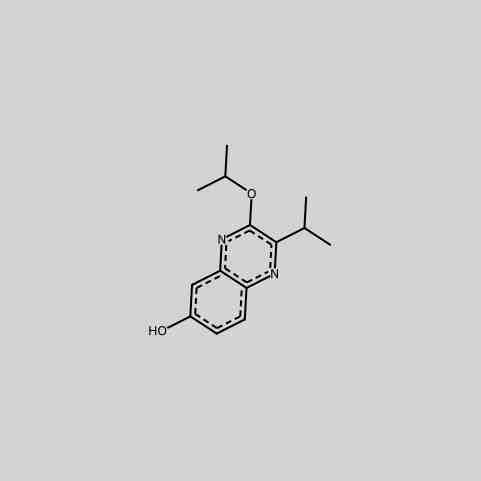 CC(C)Oc1nc2cc(O)ccc2nc1C(C)C